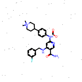 C[N+]1(C)CCC(c2ccc(Nc3cc(NCc4cccc(F)c4)c(C(N)=O)cn3)cc2)CC1.O=C[O-]